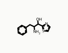 NC(Cc1ccccc1)C(O)c1nccs1